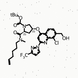 C=CCCCCN(C)C(=O)[C@@H]1C[C@H](Oc2cc(-n3ccc(C(F)(F)F)n3)nc3c(Cl)c(CO)ccc23)CN1C(=O)OC(C)(C)C